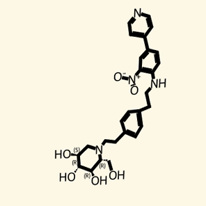 O=[N+]([O-])c1cc(-c2ccncc2)ccc1NCCc1ccc(CCN2C[C@H](O)[C@@H](O)[C@H](O)[C@H]2CO)cc1